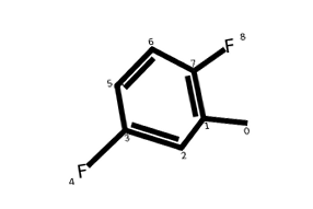 Cc1cc(F)[c]cc1F